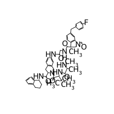 CN[C@@H](C)C(=O)NC(C(=O)N1Cc2cc(NC(=O)CNC(=O)[C@]3(C)CN(C=O)c4cc(Cc5ccc(F)cc5)ccc43)ccc2CC1C(=O)N[C@@H]1CCCc2ccccc21)C(C)(C)C